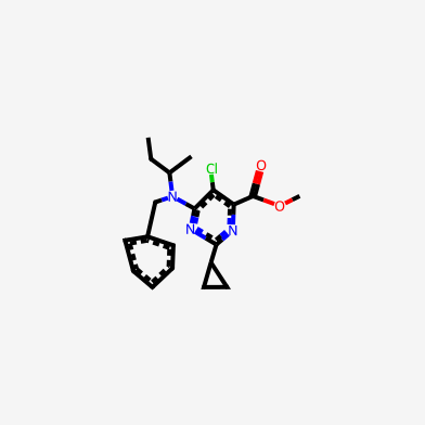 CCC(C)N(Cc1ccccc1)c1nc(C2CC2)nc(C(=O)OC)c1Cl